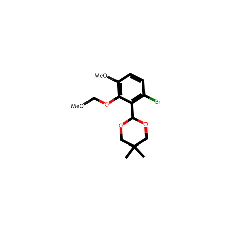 COCOc1c(OC)ccc(Br)c1C1OCC(C)(C)CO1